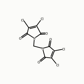 O=C1C(Cl)=C(Cl)C(=O)N1CN1C(=O)C(Cl)=C(Cl)C1=O